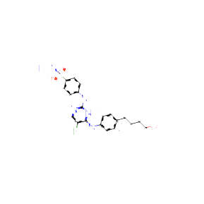 NS(=O)(=O)c1ccc(Nc2ncc(F)c(Nc3ccc(CCCCO)cc3)n2)cc1